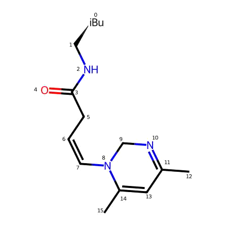 CC[C@H](C)CNC(=O)C/C=C\N1CN=C(C)C=C1C